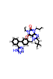 CCCn1c(=O)n(CC)c(=O)c2c1nc(CC(C)(C)C)n2Cc1ccc(-c2ccccc2-c2nnn[nH]2)cc1